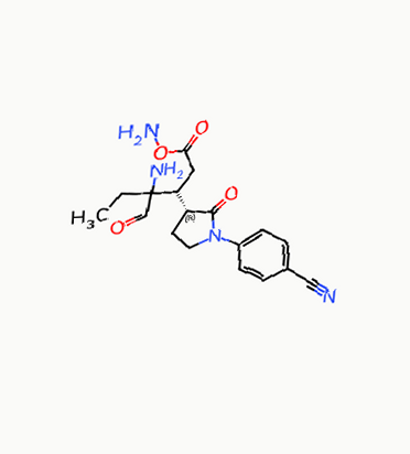 CCC(N)(C=O)C(CC(=O)ON)[C@H]1CCN(c2ccc(C#N)cc2)C1=O